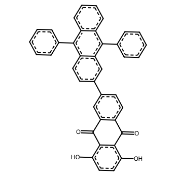 O=C1c2ccc(-c3ccc4c(-c5ccccc5)c5ccccc5c(-c5ccccc5)c4c3)cc2C(=O)c2c(O)ccc(O)c21